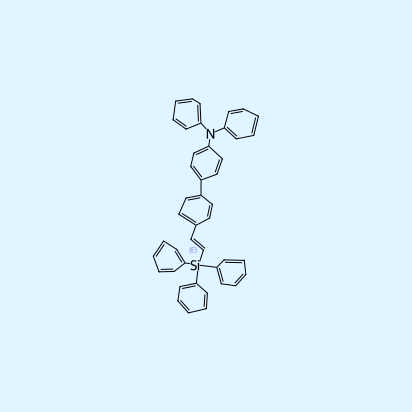 C(=C\[Si](c1ccccc1)(c1ccccc1)c1ccccc1)/c1ccc(-c2ccc(N(c3ccccc3)c3ccccc3)cc2)cc1